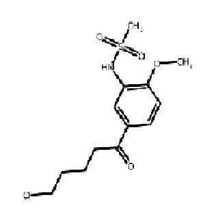 COc1ccc(C(=O)CCCCCl)cc1NS(C)(=O)=O